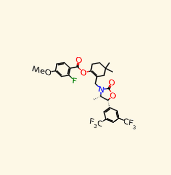 COc1ccc(C(=O)OC2=C(CN3C(=O)O[C@H](c4cc(C(F)(F)F)cc(C(F)(F)F)c4)[C@@H]3C)CC(C)(C)CC2)c(F)c1